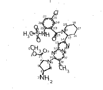 COC(=O)[C@H]1C[C@H](N)CN1c1nc2cc(C3CCCCN3C(=O)c3cc(Cl)ccc3NS(C)(=O)=O)nn2cc1C